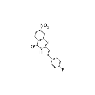 O=c1[nH]c(/C=C/c2ccc(F)cc2)nc2cc([N+](=O)[O-])ccc12